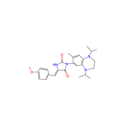 COc1ccc(C=C2NC(=O)N(c3cc4c(cc3C)N(C(C)C)CCN4C(C)C)C2=O)cc1